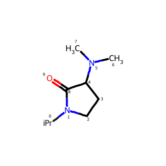 CC(C)N1CCC(N(C)C)C1=O